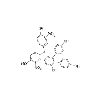 CCc1cccc(-c2ccc(O)cc2)c1-c1ccc(O)cc1.O=[N+]([O-])c1cc(Cc2ccc(O)c([N+](=O)[O-])c2)ccc1O